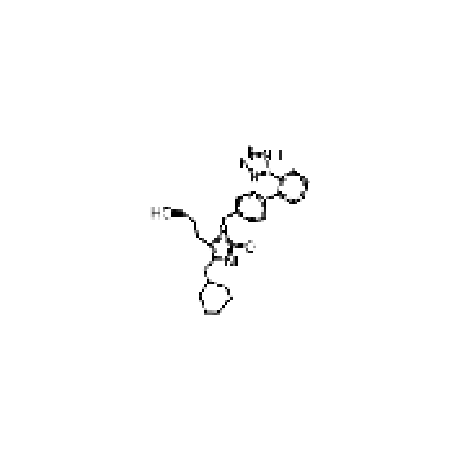 C#CCCc1c(CC2CCCCC2)[nH]c(=O)n1Cc1ccc(-c2ccccc2-c2nnn[nH]2)cc1